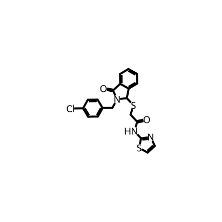 O=C(CSC1c2ccccc2C(=O)N1Cc1ccc(Cl)cc1)Nc1nccs1